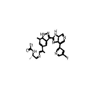 CCC(=O)N[C@@H](C)/C=N\C=C(/C)C1=CC(C)C2NN=C(C3=NC4C(c5cncc(F)c5)=CN=CC4N3)C2=C1